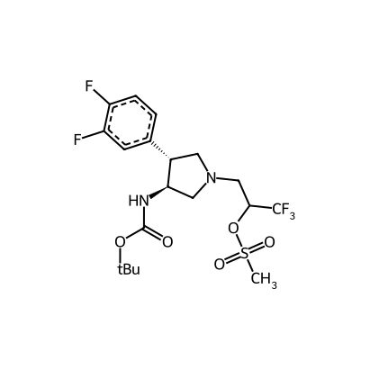 CC(C)(C)OC(=O)N[C@@H]1CN(CC(OS(C)(=O)=O)C(F)(F)F)C[C@H]1c1ccc(F)c(F)c1